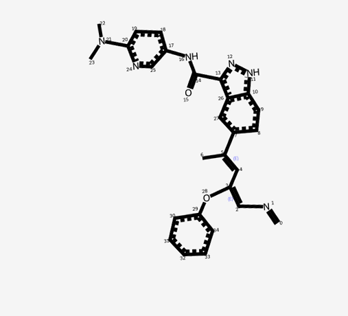 C=N/C=C(\C=C(/C)c1ccc2[nH]nc(C(=O)Nc3ccc(N(C)C)nc3)c2c1)Oc1ccccc1